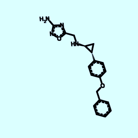 Nc1noc(CN[C@H]2C[C@@H]2c2ccc(OCc3ccccc3)cc2)n1